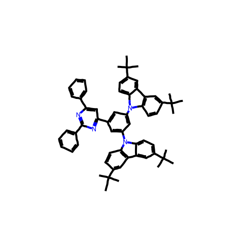 CC(C)(C)c1ccc2c(c1)c1cc(C(C)(C)C)ccc1n2-c1cc(-c2cc(-c3ccccc3)nc(-c3ccccc3)n2)cc(-n2c3ccc(C(C)(C)C)cc3c3cc(C(C)(C)C)ccc32)c1